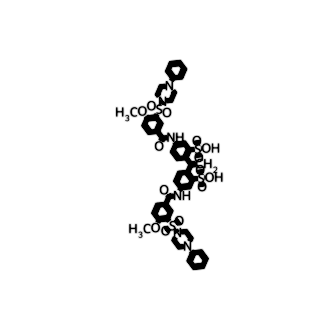 C=C(c1ccc(NC(=O)c2ccc(OC)c(S(=O)(=O)N3CCN(c4ccccc4)CC3)c2)cc1S(=O)(=O)O)c1ccc(NC(=O)c2ccc(OC)c(S(=O)(=O)N3CCN(c4ccccc4)CC3)c2)cc1S(=O)(=O)O